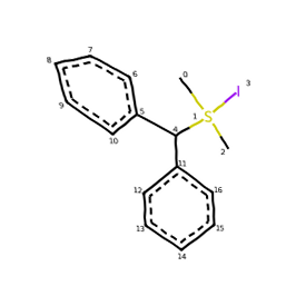 CS(C)(I)C(c1ccccc1)c1ccccc1